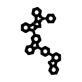 c1ccc(-n2c3ccccc3c3c2nc2n(-c4ccc5c(c4)c4ccccc4n5-c4ccc(-c5cccc6c5oc5ccccc56)cc4)c4ccccc4n32)cc1